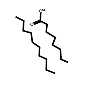 CCCCCCCC(=O)O.[CH2]CCCCCCCCC